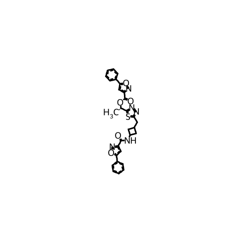 C[C@H](OC(=O)c1cc(-c2ccccc2)on1)c1nnc(CC2CC(NC(=O)c3cc(-c4ccccc4)on3)C2)s1